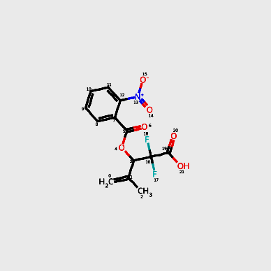 C=C(C)C(OC(=O)c1ccccc1[N+](=O)[O-])C(F)(F)C(=O)O